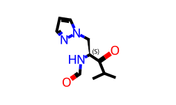 CC(C)C(=O)[C@H](Cn1cccn1)NC=O